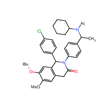 CC[C@@H](C)Oc1cc2c(cc1OC)CC(=O)N(c1ccc(C(C)N(C(C)=O)C3CCCCC3)cc1)C2c1ccc(Cl)cc1